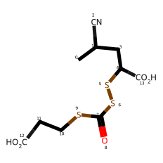 CC(C#N)CC(SSC(=O)SCCC(=O)O)C(=O)O